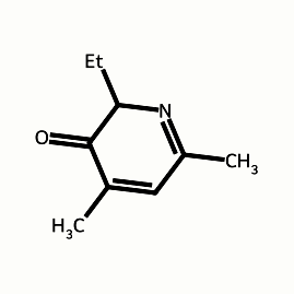 CCC1N=C(C)C=C(C)C1=O